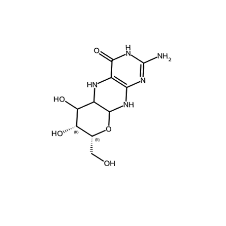 Nc1nc2c(c(=O)[nH]1)NC1C(N2)O[C@H](CO)[C@H](O)C1O